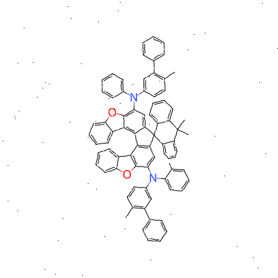 Cc1ccc(N(c2ccccc2)c2cc3c(c4c2oc2ccccc24)-c2c(cc(N(c4ccc(C)c(-c5ccccc5)c4)c4ccccc4C)c4oc5ccccc5c24)C32c3ccccc3C(C)(C)c3ccccc32)cc1-c1ccccc1